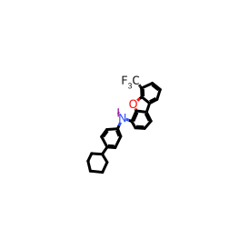 FC(F)(F)c1cccc2c1oc1c(N(I)c3ccc(C4CCCCC4)cc3)cccc12